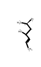 CC=CC(O)C[C@@H](C)CC